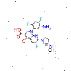 CN[C@H]1CCN(c2nc3c(cc2F)c(=O)c(C(=O)O)cn3-c2cc(N)c(F)cc2F)C1